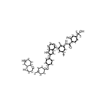 Cc1c(NC(=O)c2ccc(C(C)(C)O)cc2F)cc(F)cc1-c1ncnc2[nH]c(-c3ccc(OC4CCN(C[C@H](CO)OC5CCNCC5)CC4)cc3)cc12